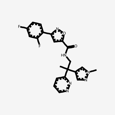 Cn1cc(C(C)(CNC(=O)c2cc(-c3ccc(F)cc3F)no2)c2cccnn2)cn1